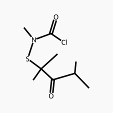 CC(C)C(=O)C(C)(C)SN(C)C(=O)Cl